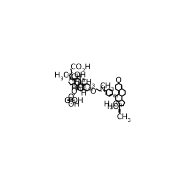 CC#C[C@]1(O)CCC2C3CCC4=CC(=O)CCC4=C3[C@@H](c3ccc(N(C)CCO[C@H]4CC[C@@]5(C)[C@@H](C4)C[C@@H](OCOP(=O)(O)O)[C@@H]4[C@@H]5C[C@H](O)[C@]5(C)[C@@H]([C@H](C)CCC(=O)O)CC[C@@H]45)cc3)C[C@@]21C